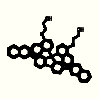 OCCOc1ccc(C2(c3ccc(OCCO)c4ccccc34)c3cc(-c4ccc5ccccc5c4)ccc3-c3ccc(-c4ccc5ccccc5c4)cc32)c2ccccc12